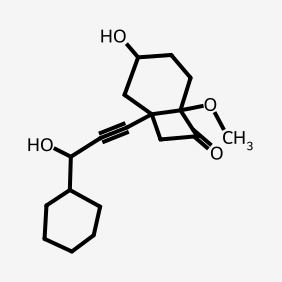 COC12CCC(O)CC1(C#CC(O)C1CCCCC1)CC2=O